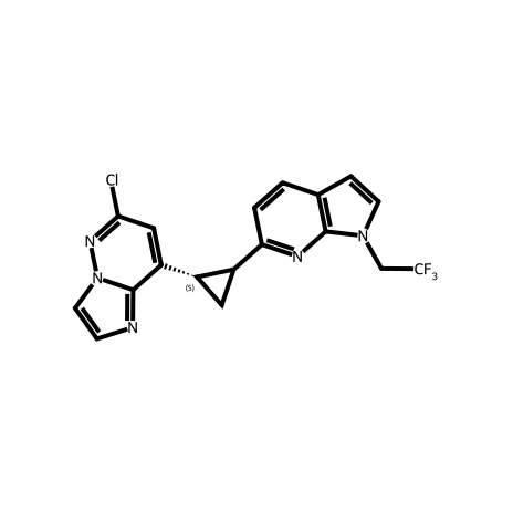 FC(F)(F)Cn1ccc2ccc(C3C[C@@H]3c3cc(Cl)nn4ccnc34)nc21